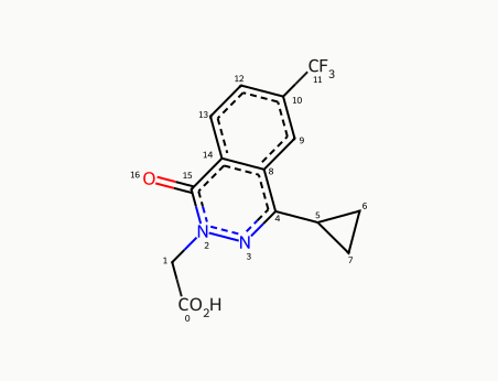 O=C(O)Cn1nc(C2CC2)c2cc(C(F)(F)F)ccc2c1=O